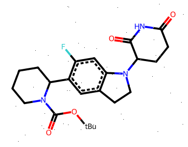 CC(C)(C)OC(=O)N1CCCCC1c1cc2c(cc1F)N(C1CCC(=O)NC1=O)CC2